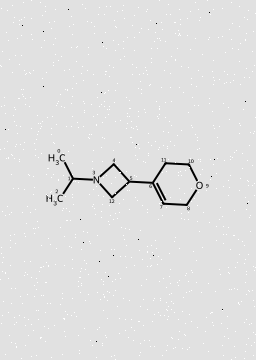 CC(C)N1CC(C2=CCOCC2)C1